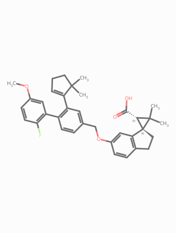 COc1ccc(F)c(-c2ccc(COc3ccc4c(c3)[C@]3(CC4)[C@H](C(=O)O)C3(C)C)cc2C2=CCCC2(C)C)c1